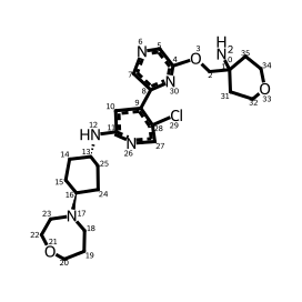 NC1(COc2cncc(-c3cc(N[C@H]4CC[C@H](N5CCCOCC5)CC4)ncc3Cl)n2)CCOCC1